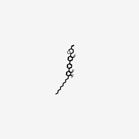 C=CC1CCC(c2ccc(-c3ccc(-c4ccc(CCCCCCCCCC)c(F)c4F)cc3)cc2F)OC1